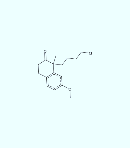 COc1ccc2c(c1)C(C)(CCCCCl)C(=O)CC2